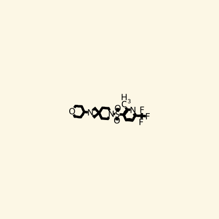 Cc1nc(C(F)(F)F)ccc1S(=O)(=O)N1CCC2(CC1)CN(C1CCOCC1)C2